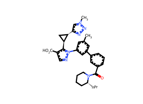 CCC[C@@H]1CCCCN1C(=O)c1cccc(-c2cc(C)cc(-n3ncc(C(=O)O)c3[C@H]3C[C@@H]3c3cn(C)nn3)c2)c1